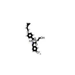 O=C(NCCO)/C(=C\c1ccc(C(F)(F)F)cc1)NC(=O)c1ccc(OCCC2CC2)cc1